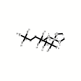 CO[Si](OC)(OC)C(F)(F)C(F)(F)C(F)(F)CCC(F)(F)F